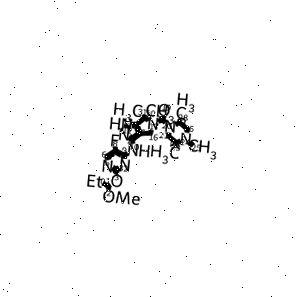 CCC(OC)Oc1ncc(F)c(Nc2n[nH]c3c2CN(C(=O)N2C[C@@H](C)N(C)C[C@@H]2C)C3(C)C)n1